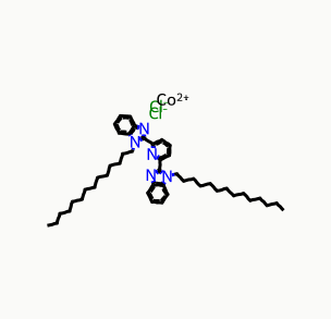 CCCCCCCCCCCCCCn1c(-c2cccc(-c3nc4ccccc4n3CCCCCCCCCCCCCC)n2)nc2ccccc21.[Cl-].[Cl-].[Co+2]